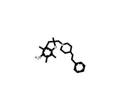 Cc1c(C)c2c(c(C)c1N)CC(C)(CN1CCC(CCc3ccccc3)CC1)O2